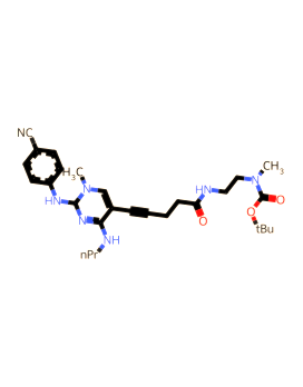 CCCNC1=NC(Nc2ccc(C#N)cc2)N(C)C=C1C#CCCC(=O)NCCN(C)C(=O)OC(C)(C)C